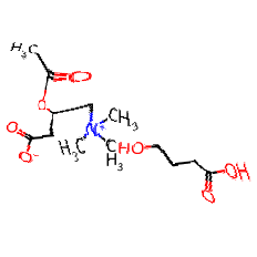 CC(=O)O[C@H](CC(=O)[O-])C[N+](C)(C)C.O=C(O)CCCO